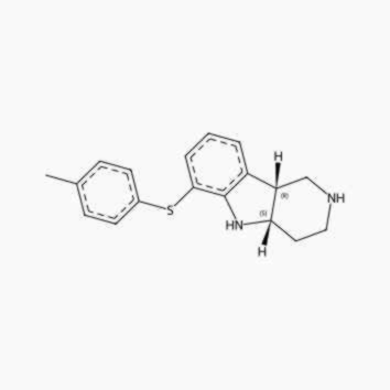 Cc1ccc(Sc2cccc3c2N[C@H]2CCNC[C@@H]32)cc1